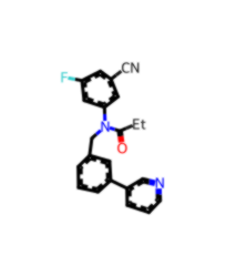 CCC(=O)N(Cc1cccc(-c2cccnc2)c1)c1cc(F)cc(C#N)c1